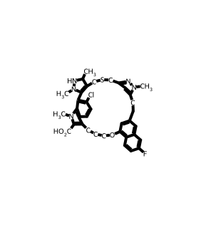 CC1NN(C)C2=C1CSCc1cc(n(C)n1)CCc1cc(c3ccc(F)cc3c1)OCCCc1c(C(=O)O)n(C)c3c2c(Cl)ccc13